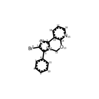 Brc1nc2n(c1-c1ccccc1)COc1ncccc1-2